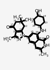 Cc1cc2cc(-n3nc(C)c4c3CC(C)(C)CC4=O)cc(NC3CCC(O)CC3)c2c(=O)[nH]1